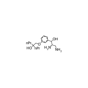 CCCC(O)(CCC)COc1cccc(C(O)[C@H](N)CN)c1